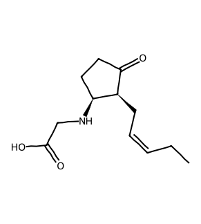 CC/C=C\C[C@@H]1C(=O)CC[C@@H]1NCC(=O)O